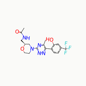 CC(=O)NC[C@H]1CN(c2nnc(-c3ccc(C(F)(F)F)cc3O)c(C)n2)CCO1